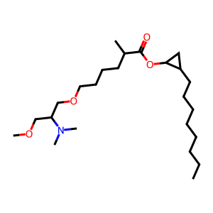 CCCCCCCCC1CC1OC(=O)C(C)CCCCOCC(COC)N(C)C